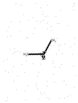 CCCCCCCCCCCCCCOC(=O)CC(CC(=O)OCCCCCCCCCCCCCC)N1CCS(=O)(=O)CC1